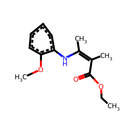 CCOC(=O)C(C)=C(C)Nc1ccccc1OC